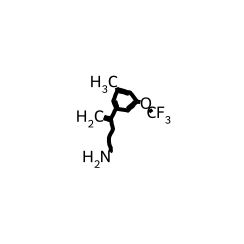 C=C(CCCN)c1cc(C)cc(OC(F)(F)F)c1